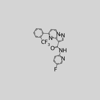 O=C(Nc1ccc(F)cn1)c1cnn2ccc(-c3ccccc3C(F)(F)F)nc12